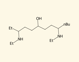 CCCCC(CCC(O)CCC(CC)NCC)NCC